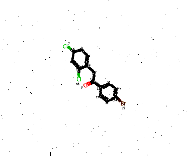 O=C(CC1=CCC(Cl)C=C1Cl)c1ccc(Br)cc1